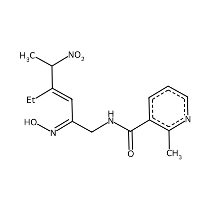 CC/C(=C\C(CNC(=O)c1cccnc1C)=N/O)C(C)[N+](=O)[O-]